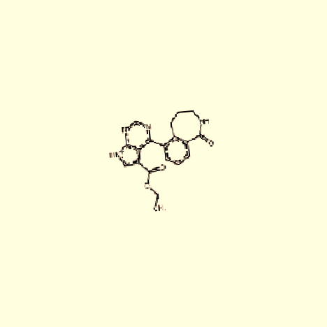 CCOC(=O)c1c[nH]c2ncnc(-c3cccc4c3CCCNC4=O)c12